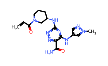 C=CC(=O)N1CCC[C@@H](Nc2nnc(C(N)=O)c(Nc3cnn(C)c3)n2)C1